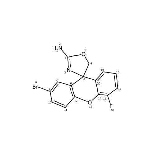 NC1=NC2(CO1)c1cc(Br)ccc1Oc1c(F)cccc12